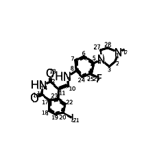 CN1CCN(c2ccc(N/C=C3\C(=O)NC(=O)c4ccc(I)cc43)cc2F)CC1